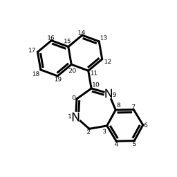 C1=NCc2ccccc2N=C1c1cccc2ccccc12